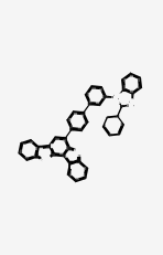 C1=CCC(C2Nc3ccccc3N2c2cccc(-c3ccc(-c4cc5c6ccccc6oc5c5c4oc4ccccc45)cc3)c2)C=C1